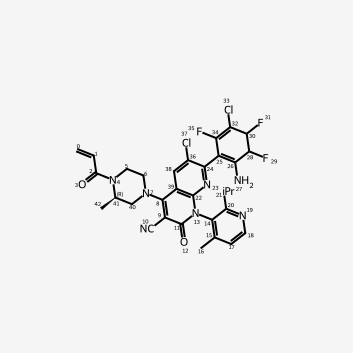 C=CC(=O)N1CCN(c2c(C#N)c(=O)n(-c3c(C)ccnc3C(C)C)c3nc(C4=C(N)C(F)C(F)C(Cl)=C4F)c(Cl)cc23)C[C@H]1C